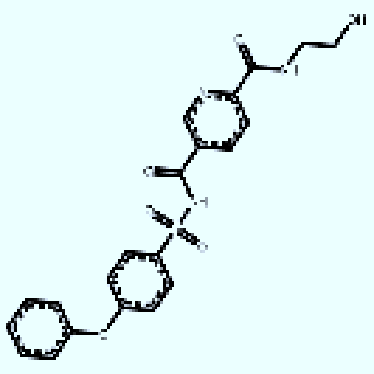 O=C(NS(=O)(=O)c1ccc(Oc2ccccc2)cc1)c1ccc(C(=O)NCCO)nc1